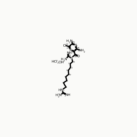 Cl.Cl.N=C(N)NCCCCCCCCCN(C(=N)N)C(=O)c1nc(Cl)c(N)nc1N